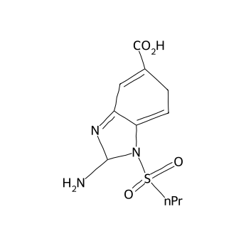 CCCS(=O)(=O)N1C2=CCC(C(=O)O)=CC2=NC1N